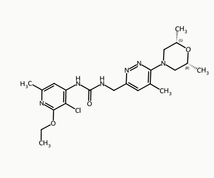 CCOc1nc(C)cc(NC(=O)NCc2cc(C)c(N3C[C@@H](C)O[C@@H](C)C3)nn2)c1Cl